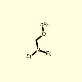 CC[CH]OCN(CC)CC